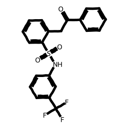 O=C(Cc1ccccc1S(=O)(=O)Nc1cccc(C(F)(F)F)c1)c1ccccc1